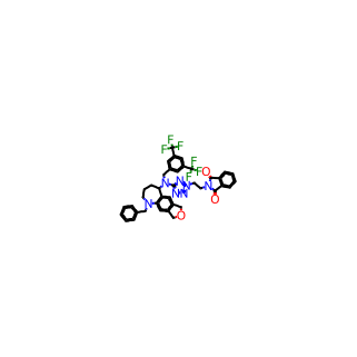 O=C1c2ccccc2C(=O)N1CCn1nnc(N(Cc2cc(C(F)(F)F)cc(C(F)(F)F)c2)C2CCCN(Cc3ccccc3)c3cc4c(cc32)COC4)n1